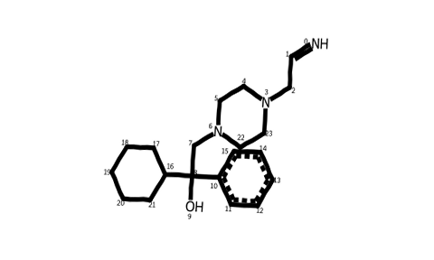 N=CCN1CCN(CC(O)(c2ccccc2)C2CCCCC2)CC1